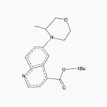 CC1COCCN1c1ccc2nccc(C(=O)OC(C)(C)C)c2c1